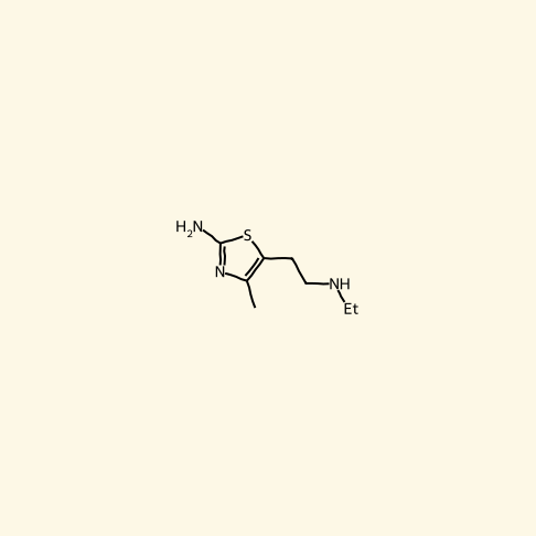 CCNCCc1sc(N)nc1C